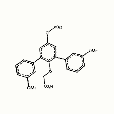 CCCCCCCCOc1cc(-c2cccc(OC)c2)c(OCC(=O)O)c(-c2cccc(OC)c2)c1